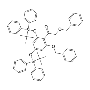 CC(C)(C)[Si](Oc1cc(OCc2ccccc2)c(C(=O)COCc2ccccc2)c(O[Si](c2ccccc2)(c2ccccc2)C(C)(C)C)c1)(c1ccccc1)c1ccccc1